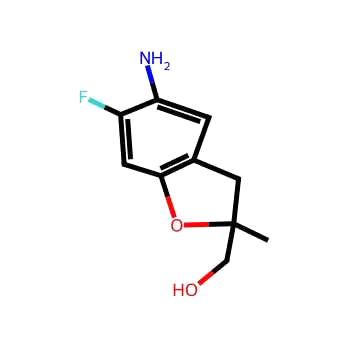 CC1(CO)Cc2cc(N)c(F)cc2O1